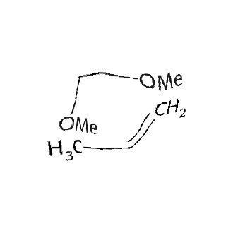 C=CC.COCOC